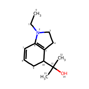 CCN1CCC2=C1C=CCC2C(C)(C)O